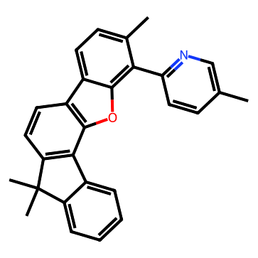 Cc1ccc(-c2c(C)ccc3c2oc2c4c(ccc23)C(C)(C)c2ccccc2-4)nc1